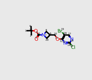 CC(C)(C)OC(=O)N1CC(COc2nc(Cl)ncc2Br)C1